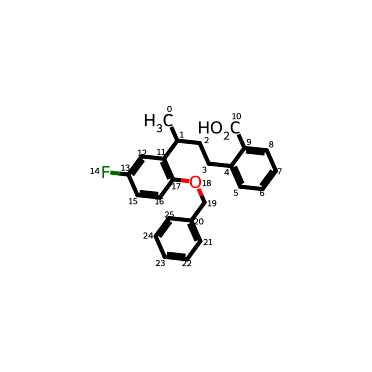 CC(CCc1ccccc1C(=O)O)c1cc(F)ccc1OCc1ccccc1